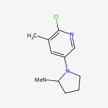 CNC1CCCN1c1cnc(Cl)c(C)c1